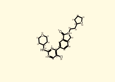 O=C1c2cc(-c3nc(NC4CCOCC4)ncc3Cl)ccc2CN1CCC1CCCO1